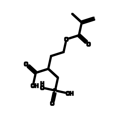 C=C(C)C(=O)OCCC(CP(=O)(O)O)C(=O)O